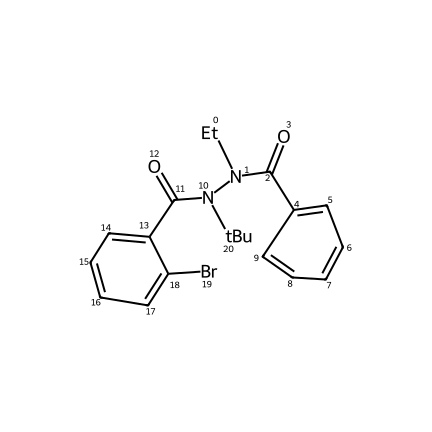 CCN(C(=O)c1ccccc1)N(C(=O)c1ccccc1Br)C(C)(C)C